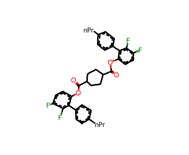 CCCc1ccc(-c2c(OC(=O)C3CCC(C(=O)Oc4ccc(F)c(F)c4-c4ccc(CCC)cc4)CC3)ccc(F)c2F)cc1